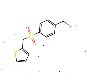 O=S(=O)(Cc1cccs1)c1ccc(CBr)cc1